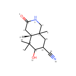 CC12CNC(=O)C[C@H]1C(C)(C)C(O)C(C#N)C2